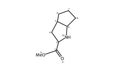 COC(=O)C1CC2CCCC2N1